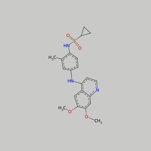 COc1cc2nccc(Nc3ccc(NS(=O)(=O)C4CC4)c(C)c3)c2cc1OC